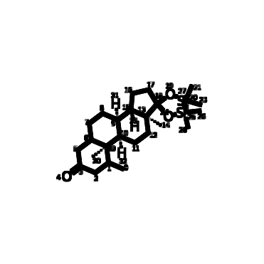 CC1CC(=O)CC2CC[C@@H]3[C@@H](CC[C@@]4(C)[C@H]3CCC4(O[Si](C)(C)C)O[Si](C)(C)C)[C@@]12C